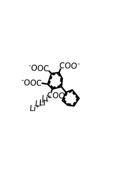 O=C([O-])c1cc(-c2ccccc2)c(C(=O)[O-])c(C(=O)[O-])c1C(=O)[O-].[Li+].[Li+].[Li+].[Li+]